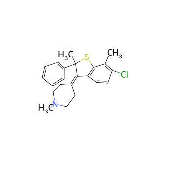 Cc1c(Cl)ccc2c1SC(C)(c1ccccc1)C2=C1CCN(C)CC1